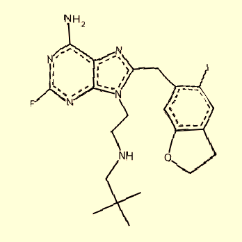 CC(C)(C)CNCCn1c(Cc2cc3c(cc2I)CCO3)nc2c(N)nc(F)nc21